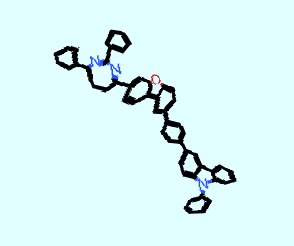 C1=C(c2ccccc2)/N=C(c2ccccc2)\N=C(\c2ccc3c(c2)oc2ccc(-c4ccc(-c5ccc6c(c5)c5ccccc5n6-c5ccccc5)cc4)cc23)CC\1